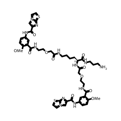 COc1ccc(NC(=O)c2cn3ccsc3n2)cc1C(=O)NCCOCC(=O)NCCCC[C@H](NC(=O)COCCNC(=O)c1cc(NC(=O)c2cn3ccsc3n2)ccc1OC)C(=O)NCCCN